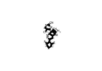 CC1(C)[C@H]2CC[C@@]1(c1nc(C#N)ncc1Cl)c1nnc(-c3c(F)cccc3F)cc12